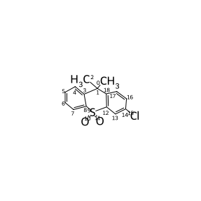 CC1(C)c2ccccc2S(=O)(=O)c2cc(Cl)ccc21